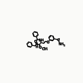 Cl.NC1CC1c1cccc(OCCC(NC(=O)c2ccccc2)C(=O)NCc2ccccc2)c1